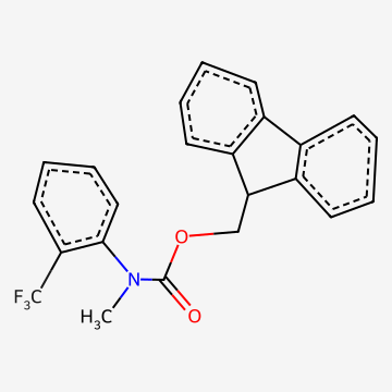 CN(C(=O)OCC1c2ccccc2-c2ccccc21)c1ccccc1C(F)(F)F